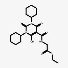 CCOC(=O)CNC(=S)c1c(O)n(C2CCCCC2)c(=O)n(C2CCCCC2)c1=O